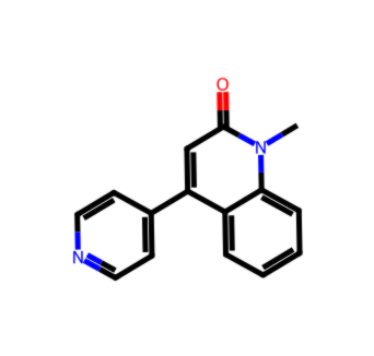 Cn1c(=O)cc(-c2ccncc2)c2ccccc21